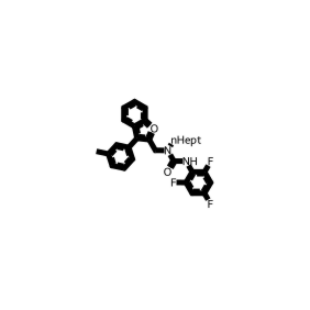 CCCCCCCN(Cc1oc2ccccc2c1-c1cccc(C)c1)C(=O)Nc1c(F)cc(F)cc1F